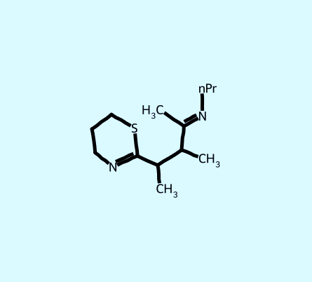 CCC/N=C(\C)C(C)C(C)C1=NCCCS1